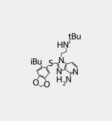 CCC(C)c1cc2c(cc1Sc1nc3c(N)nccc3n1CCNCC(C)(C)C)OCO2